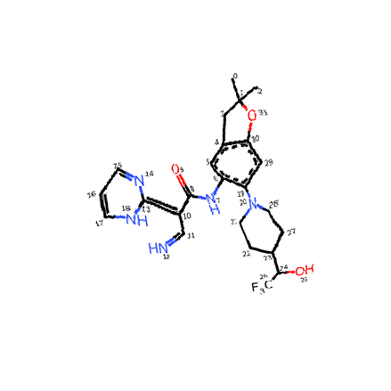 CC1(C)Cc2cc(NC(=O)/C(C=N)=C3\N=CC=CN3)c(N3CCC(C(O)C(F)(F)F)CC3)cc2O1